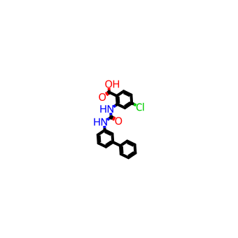 O=C(Nc1cccc(-c2ccccc2)c1)Nc1cc(Cl)ccc1C(=O)O